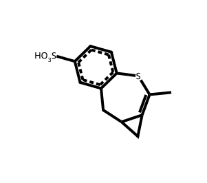 CC1=C2CC2Cc2cc(S(=O)(=O)O)ccc2S1